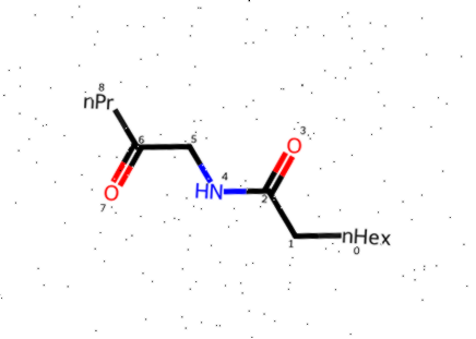 CCCCCCCC(=O)NCC(=O)CCC